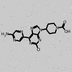 Nc1cnc(-c2nc(Cl)nc3c2ncn3C2CCN(C(=O)O)CC2)cn1